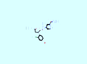 C[C@@H]1C[C@@H](c2ccc(OC(F)(F)F)cc2Cl)[C@H](C(=O)Nc2ccnc(C(N)=O)c2)O1